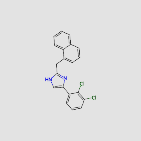 Clc1cccc(-c2c[nH]c(Cc3cccc4ccccc34)n2)c1Cl